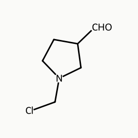 O=CC1CCN(CCl)C1